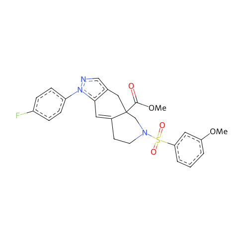 COC(=O)C12Cc3cnn(-c4ccc(F)cc4)c3C=C1CCN(S(=O)(=O)c1cccc(OC)c1)C2